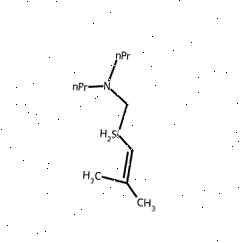 CCCN(CCC)C[SiH2]C=C(C)C